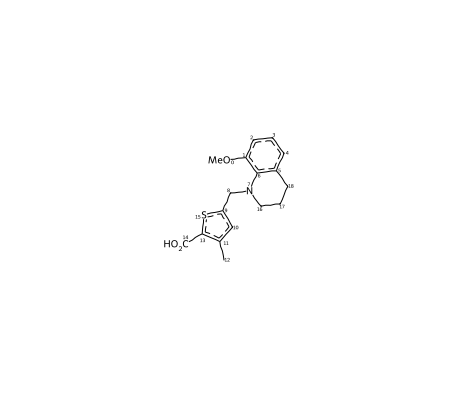 COc1cccc2c1N(Cc1cc(C)c(C(=O)O)s1)CCC2